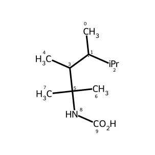 C[C](C(C)C)C(C)C(C)(C)NC(=O)O